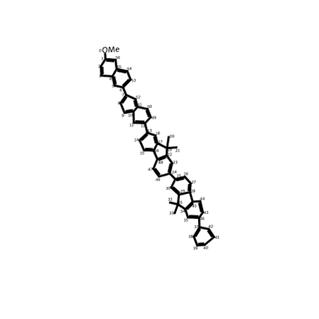 COc1ccc2cc(-c3ccc4cc(-c5ccc6c(c5)C(C)(C)c5cc(-c7ccc8c(c7)C(C)(C)c7cc(-c9ccccc9)ccc7-8)ccc5-6)ccc4c3)ccc2c1